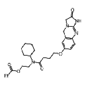 CCC(=O)OCCN(C(=O)CCCOc1ccc2c(c1)CN1CC(=O)NC1=N2)C1CCCCC1